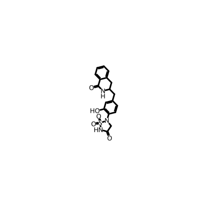 O=C1CN(c2ccc(CC3Cc4ccccc4C(=O)N3)cc2O)S(=O)(=O)N1